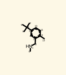 CNCc1cc(C(C)(C)C)ccc1C